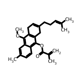 C=C(C)C(=O)Oc1c2c(c(OC)c3cc(C)ccc13)CC=C(CCC=C(C)C)C2